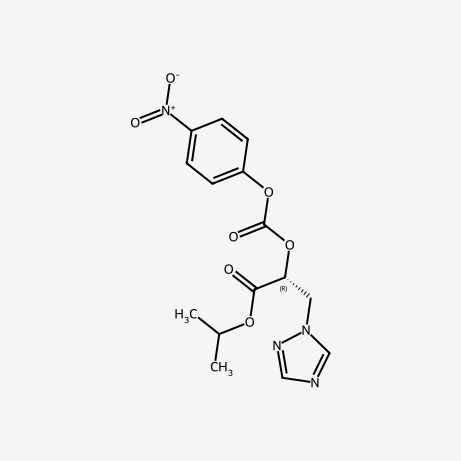 CC(C)OC(=O)[C@@H](Cn1cncn1)OC(=O)Oc1ccc([N+](=O)[O-])cc1